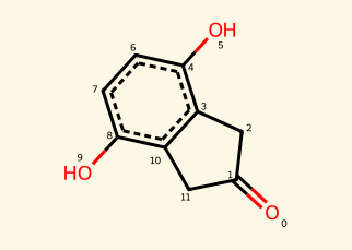 O=C1Cc2c(O)ccc(O)c2C1